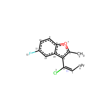 CCC/C=C(/Cl)c1c(C)oc2ccc(F)cc12